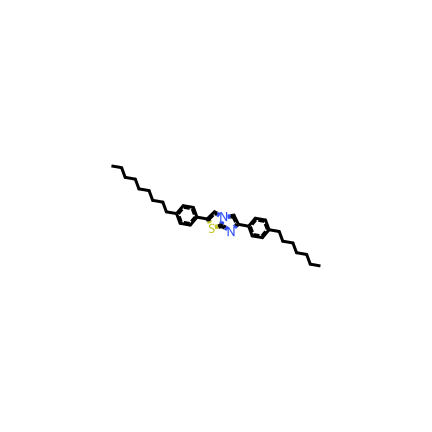 CCCCCCCCCc1ccc(-c2cn3cc(-c4ccc(CCCCCCC)cc4)nc3s2)cc1